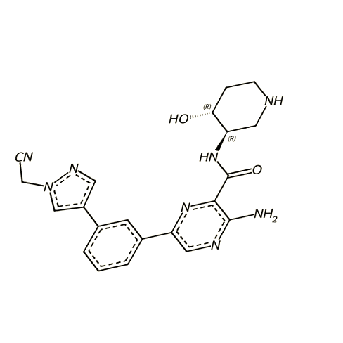 N#CCn1cc(-c2cccc(-c3cnc(N)c(C(=O)N[C@@H]4CNCC[C@H]4O)n3)c2)cn1